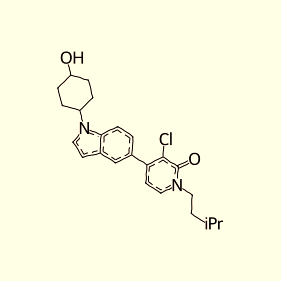 CC(C)CCn1ccc(-c2ccc3c(ccn3C3CCC(O)CC3)c2)c(Cl)c1=O